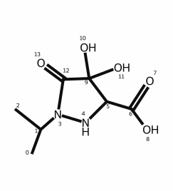 CC(C)N1NC(C(=O)O)C(O)(O)C1=O